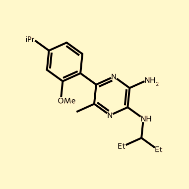 CCC(CC)Nc1nc(C)c(-c2ccc(C(C)C)cc2OC)nc1N